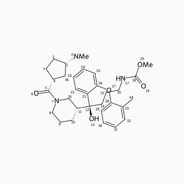 CN[C@H]1CC[C@@H](C(=O)N2CCC[C@@H]([C@@](O)(CCCNC(=O)OC)c3ccccc3Oc3ccccc3C)C2)C1